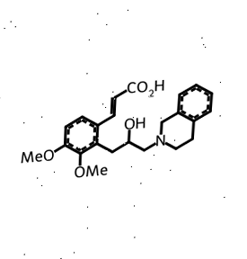 COc1ccc(/C=C/C(=O)O)c(CC(O)CN2CCc3ccccc3C2)c1OC